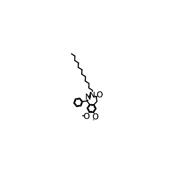 CCCCCCCCCCCCN1N=C(c2ccccc2)c2cc(OC)c(OC)cc2CC1=O